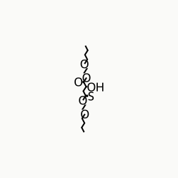 CCCCOCCOC(=O)C(O)CC(=S)OCCOCCCC